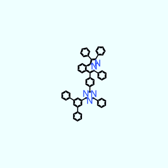 c1ccc(-c2cc(-c3ccccc3)cc(-c3nc(-c4ccccc4)nc(-c4ccc(-c5c(-c6ccccc6)n6nc(-c7ccccc7)c(-c7ccccc7)c6c6ccccc56)cc4)n3)c2)cc1